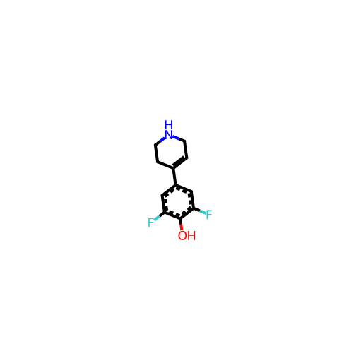 Oc1c(F)cc(C2=CCNCC2)cc1F